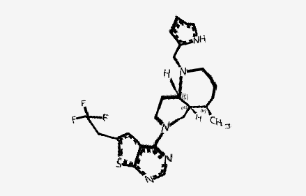 C[C@@H]1CCN(Cc2ccc[nH]2)[C@H]2CCN(c3ncnc4sc(CC(F)(F)F)cc34)C[C@@H]12